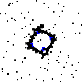 C1=Cc2cc3ccc(cc4nc(cc5ccc(cc1n2)[nH]5)C=C4)[nH]3.[Si]